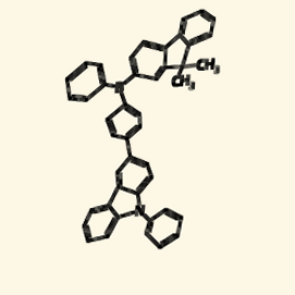 CC1(C)c2ccccc2-c2ccc(B(c3ccccc3)c3ccc(-c4ccc5c(c4)c4ccccc4n5-c4ccccc4)cc3)cc21